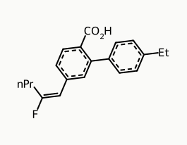 CCC/C(F)=C\c1ccc(C(=O)O)c(-c2ccc(CC)cc2)c1